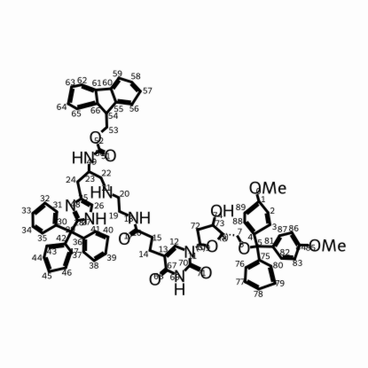 COc1ccc(C(OC[C@@H]2O[C@H](n3cc(CCC(=O)NCCNCC(Cc4c[nH]c(C(c5ccccc5)(c5ccccc5)c5ccccc5)n4)NC(=O)OCC4c5ccccc5-c5ccccc54)c(=O)[nH]c3=O)CC2O)(c2ccccc2)c2ccc(OC)cc2)cc1